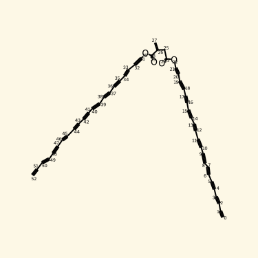 C#CC#CC#CC#CC#CC#CC#CC#CC#CC#CC#COC(=O)CC(=C)C(=O)OC#CC#CC#CC#CC#CC#CC#CC#CC#CC#CC#C